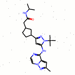 Cc1cc2c(Nc3cc(C4CCC(CC(=O)NC(C)C)C4)nn3C(C)(C)C)nccn2n1